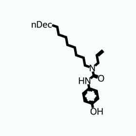 C=CCN(CCCCCCCCCCCCCCCCCC)C(=O)Nc1ccc(O)cc1